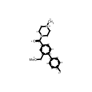 COCc1cc(C(=O)N2CCN(C)CC2)ccc1-c1ccc(I)cc1